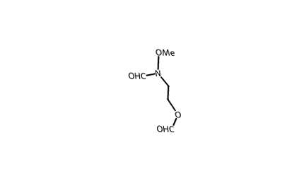 CON(C=O)CCOC=O